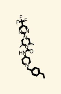 CCc1ccc(CN2CCC(NC(=O)N3[C@H](C)CN(c4ncc(C(F)(F)F)cn4)C[C@@H]3C)CC2)cc1